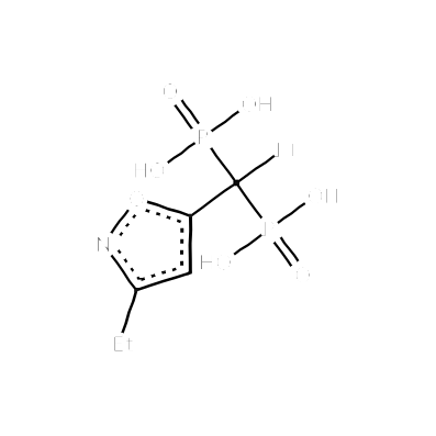 CCc1cc(C(CC)(P(=O)(O)O)P(=O)(O)O)on1